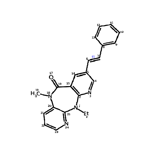 CCN1c2ncc(/C=C/c3ccccc3)cc2C(=O)N(C)c2cccnc21